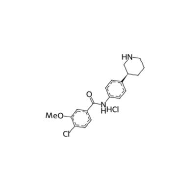 COc1cc(C(=O)Nc2ccc([C@@H]3CCCNC3)cc2)ccc1Cl.Cl